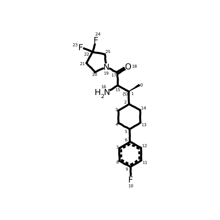 C[C@@H](C1CCC(c2ccc(F)cc2)CC1)C(N)C(=O)N1CCC(F)(F)C1